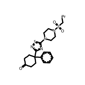 CC(C)CS(=O)(=O)N1CCN(c2nc(C3(c4ccccc4)CCC(=O)CC3)ns2)CC1